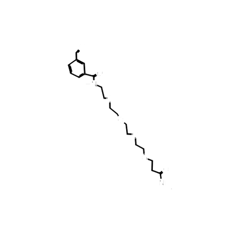 NC(=O)CCOCCOCCOCCOCCNC(=O)c1cccc(C=O)c1